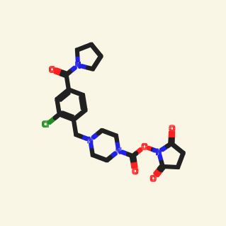 O=C(ON1C(=O)CCC1=O)N1CCN(Cc2ccc(C(=O)N3CCCC3)cc2Cl)CC1